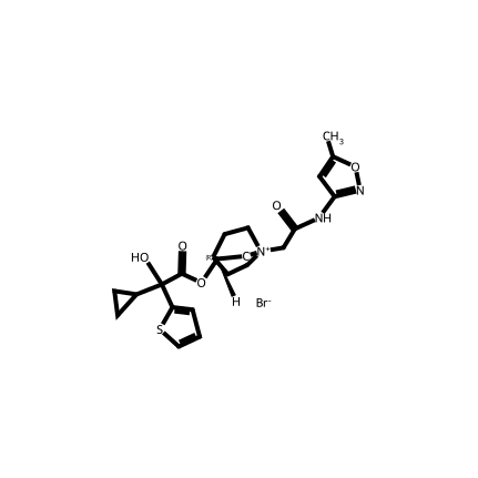 Cc1cc(NC(=O)C[N+]23CCC(CC2)[C@@H](OC(=O)C(O)(c2cccs2)C2CC2)C3)no1.[Br-]